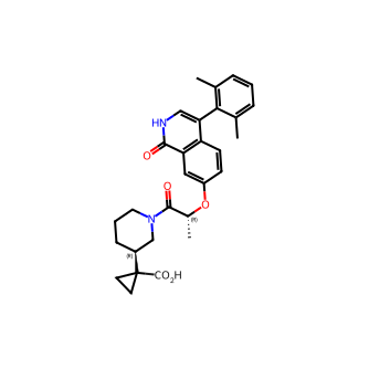 Cc1cccc(C)c1-c1c[nH]c(=O)c2cc(O[C@H](C)C(=O)N3CCC[C@H](C4(C(=O)O)CC4)C3)ccc12